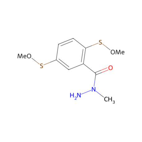 COSc1ccc(SOC)c(C(=O)N(C)N)c1